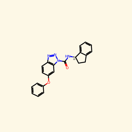 O=C(N[C@@H]1CCc2ccccc21)n1nnc2ccc(Oc3ccccc3)cc21